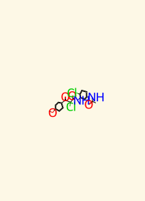 COc1ccc(C(=O)C(Cl)C(=O)Nc2cc(NC(C)=O)ccc2Cl)cc1